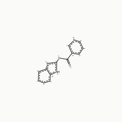 O=C(Oc1nc2ccccc2[nH]1)c1cccnc1